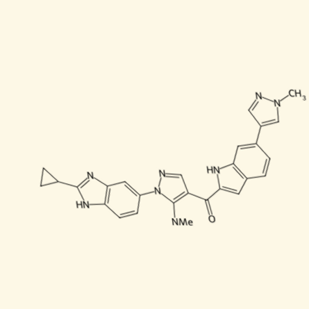 CNc1c(C(=O)c2cc3ccc(-c4cnn(C)c4)cc3[nH]2)cnn1-c1ccc2[nH]c(C3CC3)nc2c1